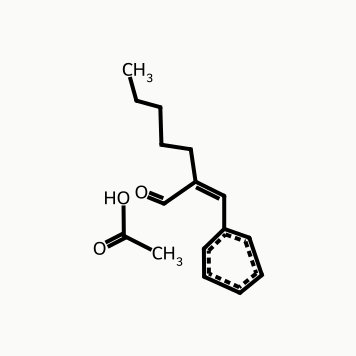 CC(=O)O.CCCCC/C(C=O)=C/c1ccccc1